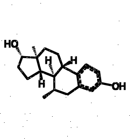 C[C@@H]1Cc2cc(O)ccc2[C@H]2CC[C@]3(C)[C@@H](O)CC[C@H]3[C@H]12